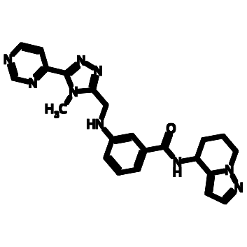 Cn1c(CNc2cccc(C(=O)NC3CCCn4nccc43)c2)nnc1-c1ccncn1